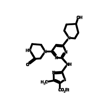 CCOC(=O)c1sc(Nc2nc(N3CCC(O)CC3)cc(N3CCNC(=O)C3)n2)nc1C